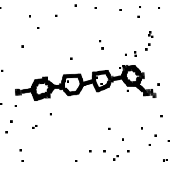 Nc1cc(N2CCC(C3CCN(c4ncc(Br)cn4)CC3)CC2)ncn1